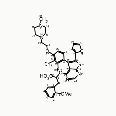 COc1ccccc1CC(Oc1ncnc2sc(-c3ccco3)c(-c3ccc(OCCN4CCN(C)CC4)c(Cl)c3F)c12)C(=O)O